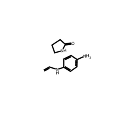 C=CNc1ccc(N)cc1.O=C1CCCN1